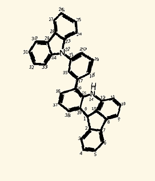 CC12c3ccccc3-c3cccc(c31)Nc1c(-c3cccc(-n4c5ccccc5c5ccccc54)c3)cccc12